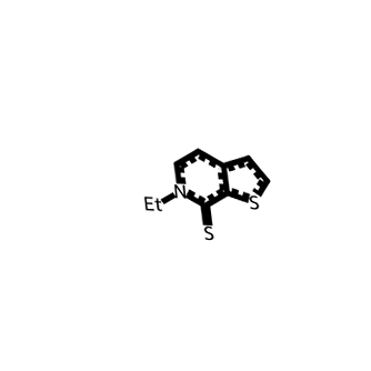 CCn1ccc2ccsc2c1=S